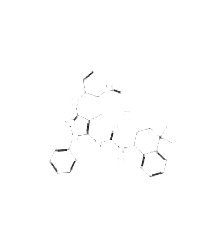 C=CC(CN=C)Oc1nn(-c2ccccc2)c(NC(=O)N[C@@H]2c3ccccc3C(C)(C)C[C@H]2O)c1C